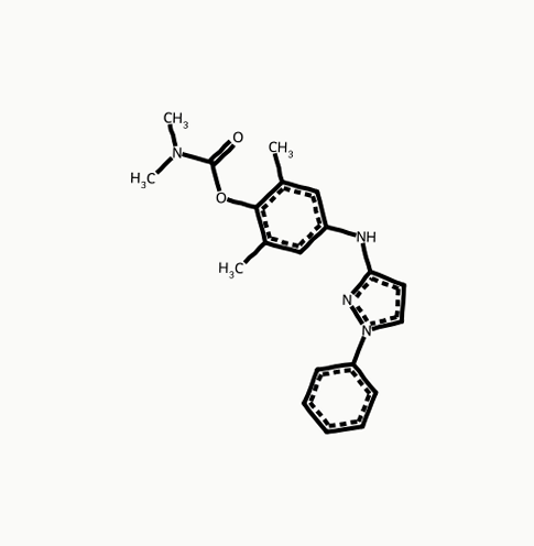 Cc1cc(Nc2ccn(-c3ccccc3)n2)cc(C)c1OC(=O)N(C)C